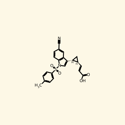 Cc1ccc(S(=O)(=O)n2cc([C@@H]3C[C@H]3C=CC(=O)O)c3cc(C#N)ccc32)cc1